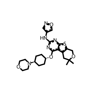 CC1(C)Cc2c(sc3nc(Nc4cnoc4)nc(O[C@H]4CC[C@H](N5CCOCC5)CC4)c23)CO1